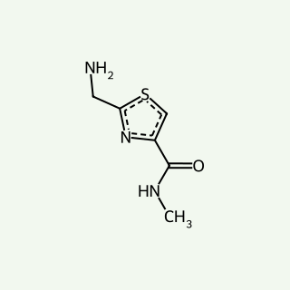 CNC(=O)c1csc(CN)n1